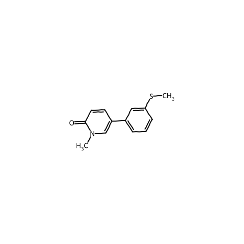 CSc1cccc(-c2ccc(=O)n(C)c2)c1